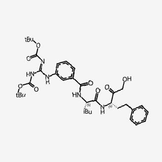 CCC(C)[C@H](NC(=O)c1cccc(NC(=NC(=O)OC(C)(C)C)NC(=O)OC(C)(C)C)c1)C(=O)N[C@@H](CCc1ccccc1)C(=O)CO